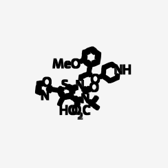 COc1ccccc1C(Cn1c(=O)n(C(C)(C)C(=O)O)c(=O)c2c(C)c(-c3ncco3)sc21)OC1CCNCC1